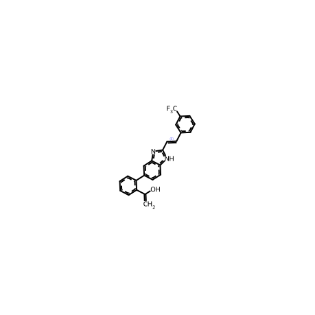 C=C(O)c1ccccc1-c1ccc2[nH]c(/C=C/c3cccc(C(F)(F)F)c3)nc2c1